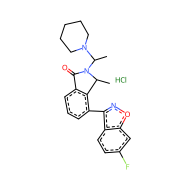 CC1c2c(cccc2-c2noc3cc(F)ccc23)C(=O)N1C(C)N1CCCCC1.Cl